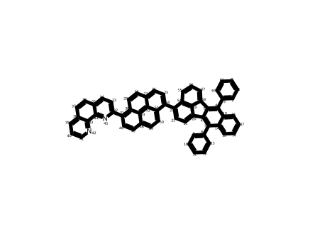 c1ccc(-c2c3c(c(-c4ccccc4)c4ccccc24)-c2ccc(-c4ccc5ccc6c(-c7ccc8ccc9cccnc9c8n7)ccc7ccc4c5c76)c4cccc-3c24)cc1